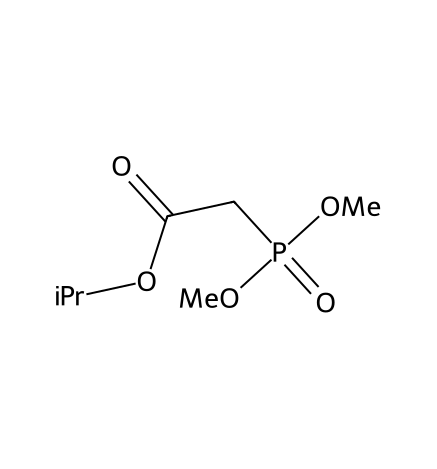 COP(=O)(CC(=O)OC(C)C)OC